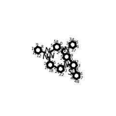 c1ccc(-c2nc(-c3ccccc3)nc(-c3cccc(-c4cccc(-n5c6cc7ccn(-c8ccccc8)c7cc6c6ccc7c8ccccc8sc7c65)c4)c3)n2)cc1